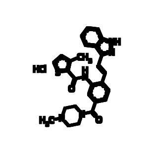 Cc1ccsc1C(=O)Nc1cc(C(=O)N2CCN(C)CC2)ccc1C=Cc1n[nH]c2ccccc12.Cl